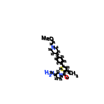 COCCN1CCC(c2ccc(-c3cc(C)c(C(=O)N4CC[C@H](N)C4)s3)cc2)CC1